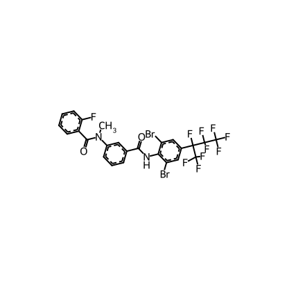 CN(C(=O)c1ccccc1F)c1cccc(C(=O)Nc2c(Br)cc(C(F)(C(F)(F)F)C(F)(F)C(F)(F)F)cc2Br)c1